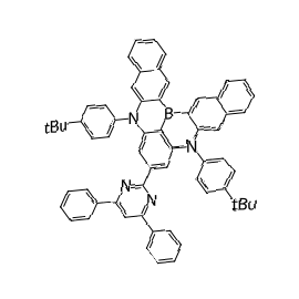 CC(C)(C)c1ccc(N2c3cc4ccccc4cc3B3c4cc5ccccc5cc4N(c4ccc(C(C)(C)C)cc4)c4cc(-c5nc(-c6ccccc6)cc(-c6ccccc6)n5)cc2c43)cc1